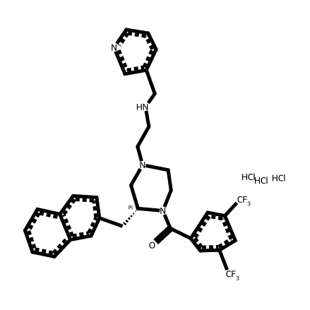 Cl.Cl.Cl.O=C(c1cc(C(F)(F)F)cc(C(F)(F)F)c1)N1CCN(CCNCc2cccnc2)C[C@H]1Cc1ccc2ccccc2c1